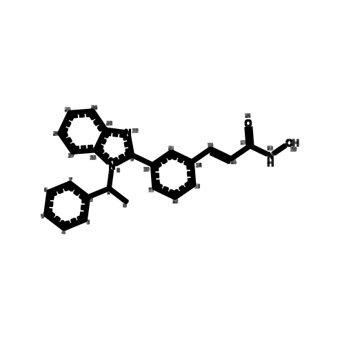 CC(c1ccccc1)n1c(-c2cccc(C=CC(=O)NO)c2)nc2ccccc21